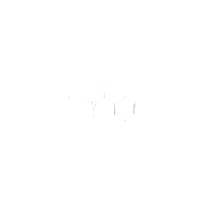 CC(=O)C(c1ccccc1)N(C(=O)O)C(C)(C)C